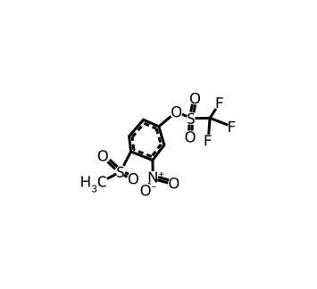 CS(=O)(=O)c1ccc(OS(=O)(=O)C(F)(F)F)cc1[N+](=O)[O-]